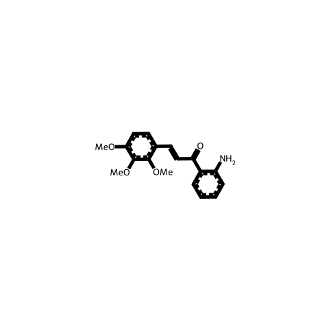 COc1ccc(C=CC(=O)c2ccccc2N)c(OC)c1OC